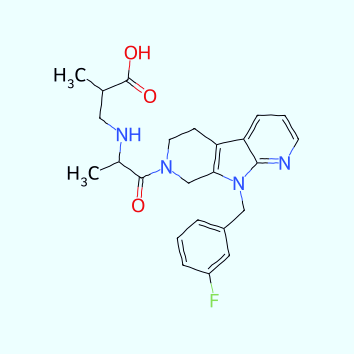 CC(CNC(C)C(=O)N1CCc2c(n(Cc3cccc(F)c3)c3ncccc23)C1)C(=O)O